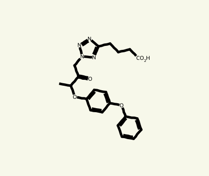 CC(Oc1ccc(Oc2ccccc2)cc1)C(=O)Cn1nnc(CCCC(=O)O)n1